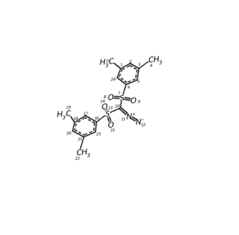 Cc1cc(C)cc(S(=O)(=O)C(=[N+]=[N-])S(=O)(=O)c2cc(C)cc(C)c2)c1